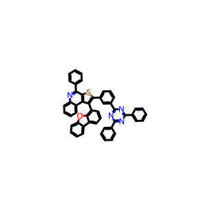 c1ccc(-c2nc(-c3ccccc3)nc(-c3cccc(-c4sc5c(-c6ccccc6)nc6ccccc6c5c4-c4cccc5c4oc4ccccc45)c3)n2)cc1